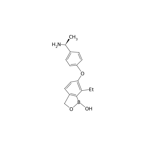 CCc1c(Oc2ccc([C@H](C)N)cc2)ccc2c1B(O)OC2